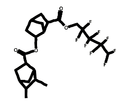 CC1C2CC(C(=O)OC3CC4CC(C(=O)OCC(F)(F)C(F)(F)C(F)(F)C(F)F)C3C4)C(C2)C1C